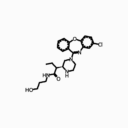 CCC(C(=O)NCCCO)[C@H]1CN(C2=Nc3cc(Cl)ccc3Oc3ccccc32)CCN1